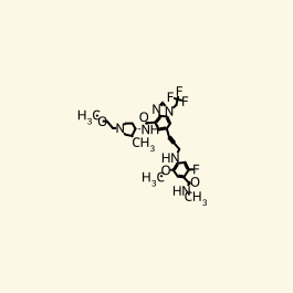 CNC(=O)c1cc(OC)c(NCC#Cc2cc(C(=O)N[C@H]3CCN(CCOC)C[C@@H]3C)c3ncn(CC(F)(F)F)c3c2)cc1F